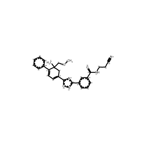 COCC1(C)CC(c2nc(-c3cccc(C(=O)NCCC#N)c3)no2)=CC=C1c1ccccc1